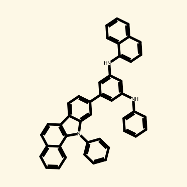 c1ccc(Nc2cc(Nc3cccc4ccccc34)cc(-c3ccc4c5ccc6ccccc6c5n(-c5ccccc5)c4c3)c2)cc1